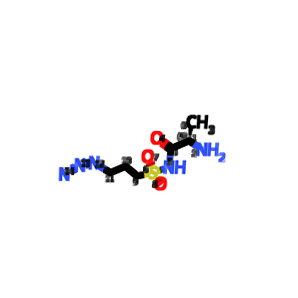 C[C@H](N)C(=O)NS(=O)(=O)CCCN=[N+]=[N-]